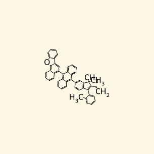 C=CC1=C(c2ccccc2C)c2ccc(-c3c4ccccc4c(-c4cc5c6ccccc6oc5c5ccccc45)c4ccccc34)cc2C1(C)C